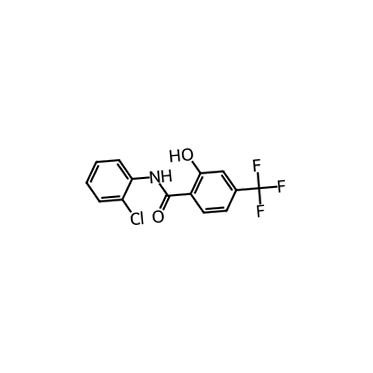 O=C(Nc1ccccc1Cl)c1ccc(C(F)(F)F)cc1O